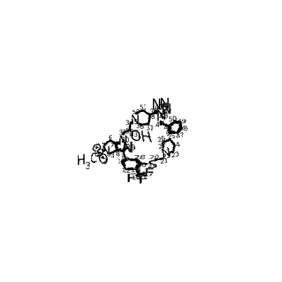 CS(=O)(=O)N1CCc2c(c(-c3ccc(C(F)(F)F)c(SCCN4CCCCC4)c3)nn2CC(O)CN2CCC(c3nnnn3Cc3ccccc3)CC2)C1